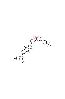 Cc1c2ccc(-c3ccc4oc5ccc(-c6ccc(C(C)(C)C)cc6)cc5c4c3)cc2c(C)c2ccc(-c3cc(C(C)(C)C)cc(C(C)(C)C)c3)cc12